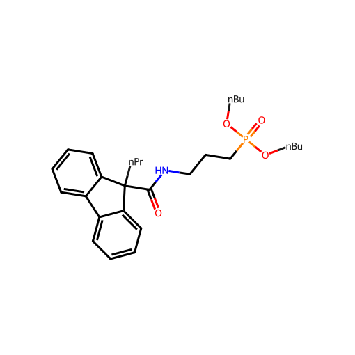 CCCCOP(=O)(CCCNC(=O)C1(CCC)c2ccccc2-c2ccccc21)OCCCC